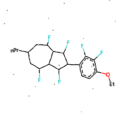 CCCC1CC(F)C2C(F)C(c3ccc(OCC)c(F)c3F)C(F)C2C(F)C1